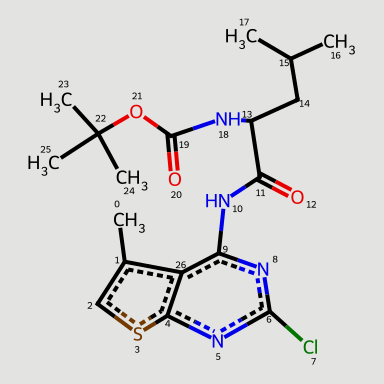 Cc1csc2nc(Cl)nc(NC(=O)C(CC(C)C)NC(=O)OC(C)(C)C)c12